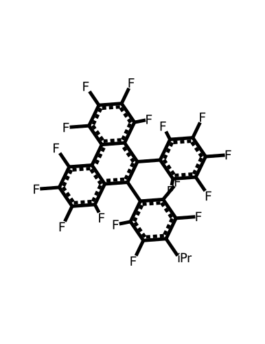 CC(C)c1c(F)c(F)c(-c2c(-c3c(F)c(F)c(F)c(F)c3F)c3c(F)c(F)c(F)c(F)c3c3c(F)c(F)c(F)c(F)c23)c(F)c1F